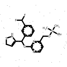 CC(C)(C)[Si](C)(C)OCc1ccnc(OC(C2=CCSN2)c2cccc(C(F)F)c2)n1